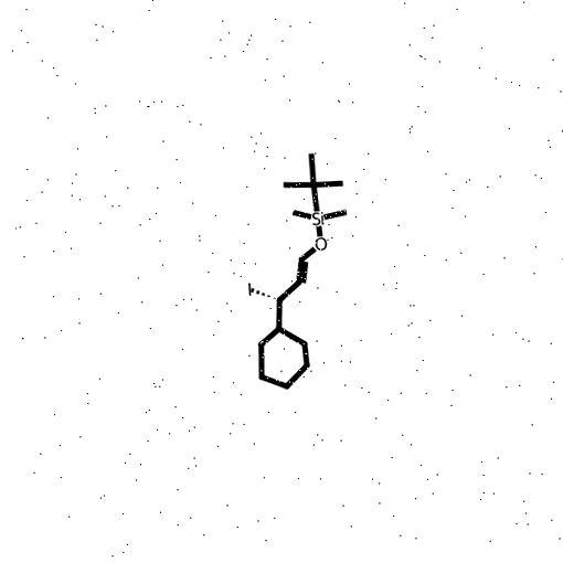 CC(C)(C)[Si](C)(C)O/C=C/[C@@H](I)C1CCCCC1